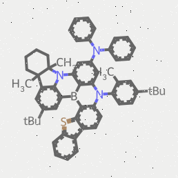 Cc1cc(C(C)(C)C)ccc1N1c2cc(N(c3ccccc3)c3ccccc3)cc3c2B(c2cc(C(C)(C)C)cc4c2N3C2(C)CCCCC42C)c2c1ccc1c2sc2ccccc21